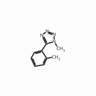 Cc1ccccc1-c1nnnn1C